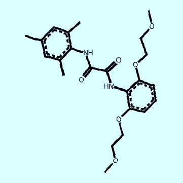 COCCOc1cccc(OCCOC)c1NC(=O)C(=O)Nc1c(C)cc(C)cc1C